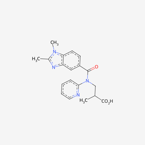 Cc1nc2cc(C(=O)N(CC(C)C(=O)O)c3ccccn3)ccc2n1C